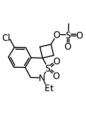 CCN1Cc2ccc(Cl)cc2C2(CC(OS(C)(=O)=O)C2)S1(=O)=O